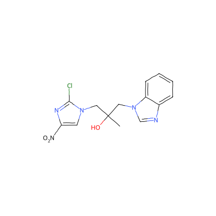 CC(O)(Cn1cc([N+](=O)[O-])nc1Cl)Cn1cnc2ccccc21